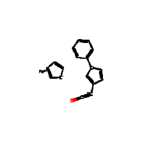 O=C=[13CH]c1cc[c-](-c2ccccc2)c1.[Fe+2].c1cc[cH-]c1